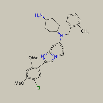 COc1cc(OC)c(-c2cn3ccc(N(Cc4ccccc4C)[C@H]4CC[C@@H](N)CC4)cc3n2)cc1Cl